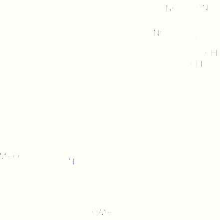 COc1ccc(N(c2ccc(/C=C/c3cc4sc(/C=C/C5C(C#N)C(=C(C#N)C#N)OC5(C)C)cc4s3)cc2)c2ccc(OC)cc2)cc1